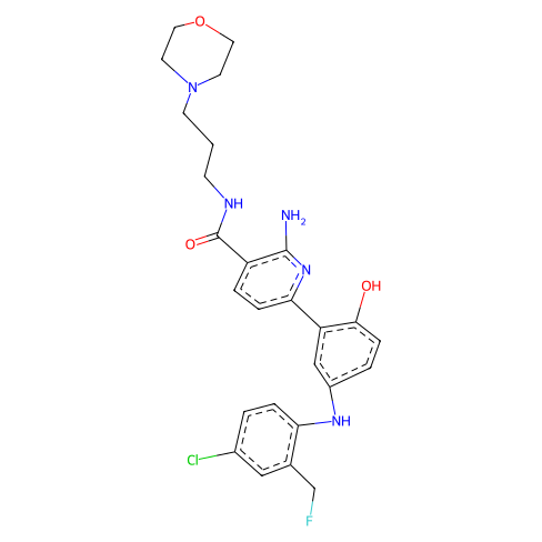 Nc1nc(-c2cc(Nc3ccc(Cl)cc3CF)ccc2O)ccc1C(=O)NCCCN1CCOCC1